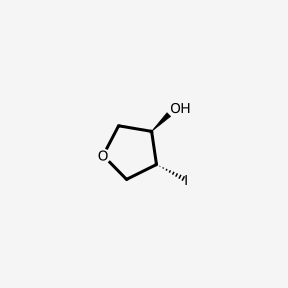 O[C@@H]1COC[C@H]1I